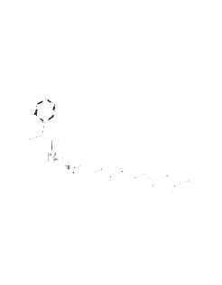 CCCCCCCCCCCCN=C=NCC(C)c1ccccc1